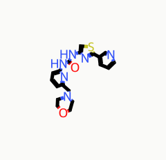 O=C(Nc1cccc(CN2CCOCC2)n1)Nc1csc(-c2cccnc2)n1